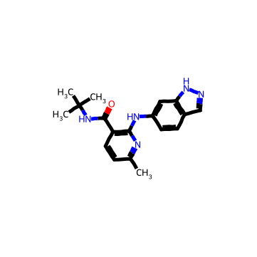 Cc1ccc(C(=O)NC(C)(C)C)c(Nc2ccc3cn[nH]c3c2)n1